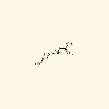 C=CC[SiH2]NCC(=C)C